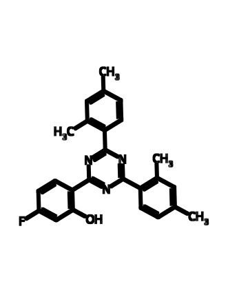 Cc1ccc(-c2nc(-c3ccc(C)cc3C)nc(-c3ccc(F)cc3O)n2)c(C)c1